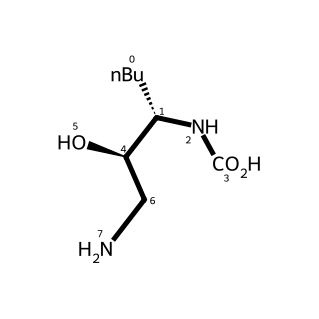 CCCC[C@H](NC(=O)O)[C@H](O)CN